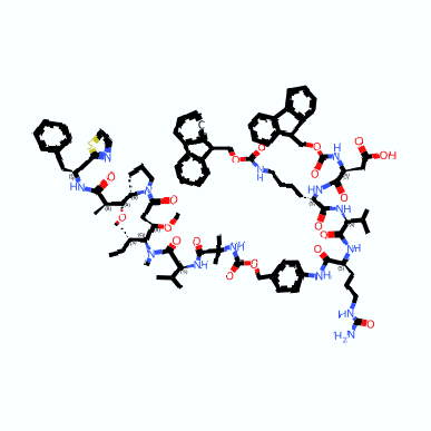 CC[C@H](C)[C@@H]([C@@H](CC(=O)N1CCC[C@H]1[C@H](OC)[C@@H](C)C(=O)N[C@@H](Cc1ccccc1)c1nccs1)OC)N(C)C(=O)[C@@H](NC(=O)C(C)(C)NC(=O)OCc1ccc(NC(=O)[C@H](CCCNC(N)=O)NC(=O)[C@@H](NC(=O)[C@H](CCCCNC(=O)OCC2c3ccccc3-c3ccccc32)NC(=O)[C@H](CC(=O)O)NC(=O)OCC2c3ccccc3-c3ccccc32)C(C)C)cc1)C(C)C